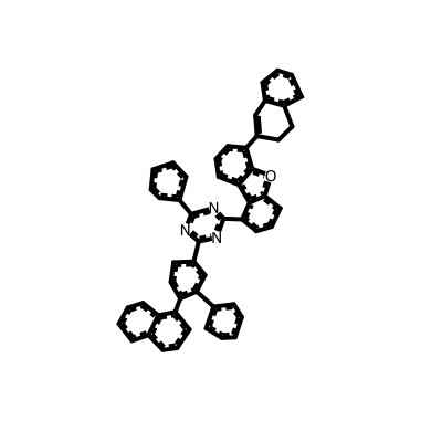 C1=C(c2cccc3c2oc2cccc(-c4nc(-c5ccccc5)nc(-c5ccc(-c6cccc7ccccc67)c(-c6ccccc6)c5)n4)c23)CCc2ccccc21